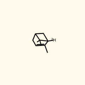 [2H]C12CC(CC=C1C)C2(C)C